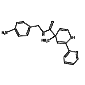 Nc1ccc(CNC(=O)C2(C(=O)O)C=CNC(c3ccccn3)=C2)cc1